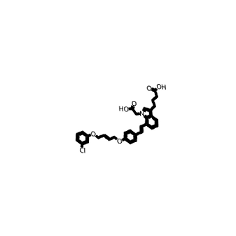 O=C(O)CCCc1cn(CC(=O)O)c2c(C=Cc3ccc(OCC=CCOc4cccc(Cl)c4)cc3)cccc12